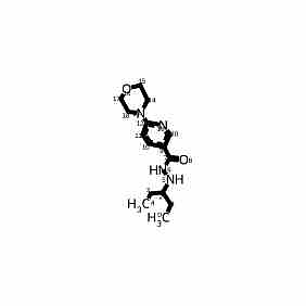 CCC(CC)NNC(=O)c1ccc(N2CCOCC2)nc1